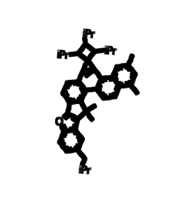 Cc1cc(C)c2ccc3c(c2c1)C1(C)C(c2ccc4c(c2-3)C(C)(C)c2c-4oc3ccc(CC(C)C)cc23)C12C(C(C)C)C(C(C)C)C2C(C)C